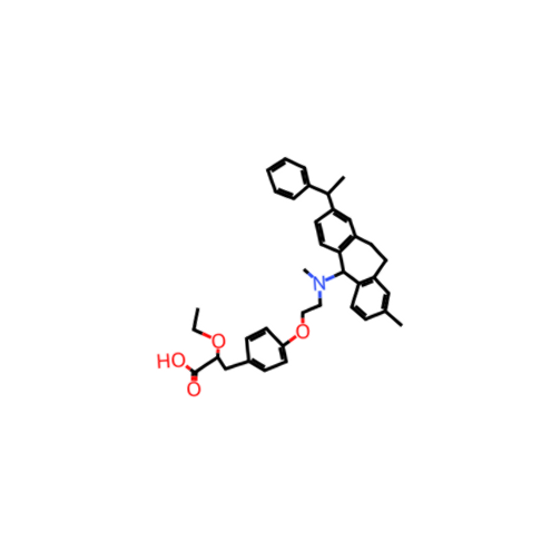 CCOC(Cc1ccc(OCCN(C)C2c3ccc(C)cc3CCc3cc(C(C)c4ccccc4)ccc32)cc1)C(=O)O